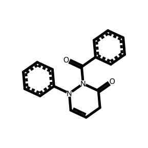 O=C1CC=CN(c2ccccc2)N1C(=O)c1ccccc1